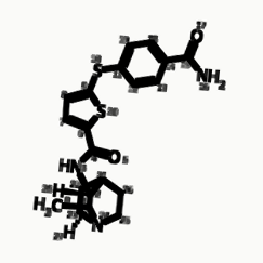 C[C@H]1[C@H](NC(=O)c2ccc(Sc3ccc(C(N)=O)cc3)s2)C2CCN1CC2